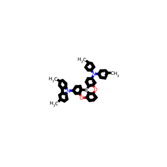 Cc1ccc(N(c2ccc(C)cc2)c2ccc3c(c2)Oc2cccc4c2B3c2ccc(-n3c5ccc(C)cc5c5cc(C)ccc53)cc2O4)cc1